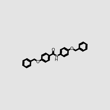 O=C(Nc1ccc(OCc2ccccc2)cc1)c1ccc(OCc2ccccc2)cc1